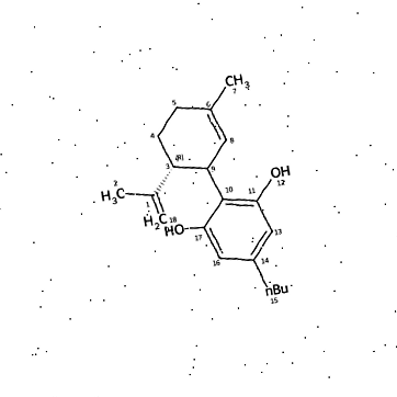 C=C(C)[C@@H]1CCC(C)=CC1c1c(O)cc(CCCC)cc1O